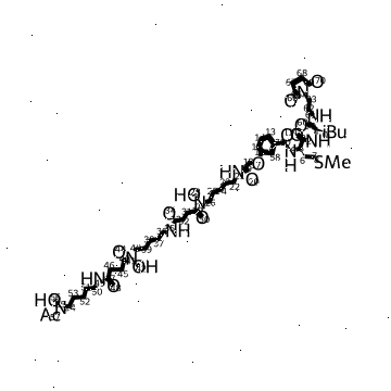 CC[C@H](C)[C@H](NC(=O)[C@H](CCSC)NC(=O)c1cccc(OCC(=O)NCCCCCN(O)C(=O)CCC(=O)NCCCCCN(O)C(=O)CCC(=O)NCCCCCN(O)C(C)=O)c1)C(=O)NCCN1C(=O)C=CC1=O